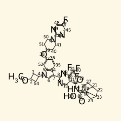 COC1CC(n2cc(-c3ncc(C(=O)NC4(C(=O)O)C5CC6CC(C5)CC4C6)c(C(F)(F)F)n3)c3ccc(OC4CCN(c5ncc(F)cn5)CC4)cc32)C1